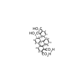 O=C(O)c1cccc(-c2ccccc2-c2ccccc2-c2cccc(C(=O)O)c2C(=O)O)c1C(=O)O